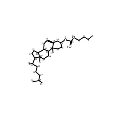 CCCCOC(=O)OC1CCC2(C)C(=CCC3C2CCC2(C)C(C(C)CCCC(C)C)CCC32)C1